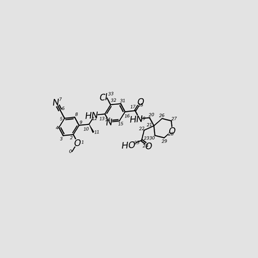 COc1ccc(C#N)cc1[C@H](C)Nc1ncc(C(=O)NCC2(CC(=O)O)CCOCC2)cc1Cl